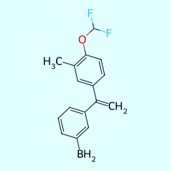 Bc1cccc(C(=C)c2ccc(OC(F)F)c(C)c2)c1